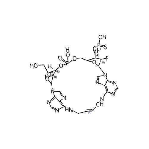 O=P1(O)OCC2OC([C@H](F)[C@@H]2O[PH](O)=S)n2cnc3c(ncnc32)NC/C=C/CNc2ncnc3c2ncn3C2OC(CO)[C@@H](O1)[C@H]2F